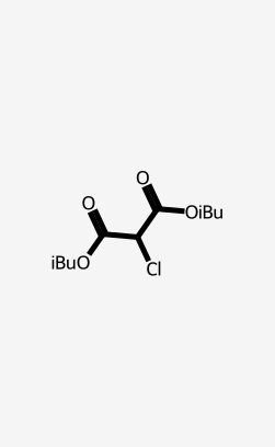 CC(C)COC(=O)C(Cl)C(=O)OCC(C)C